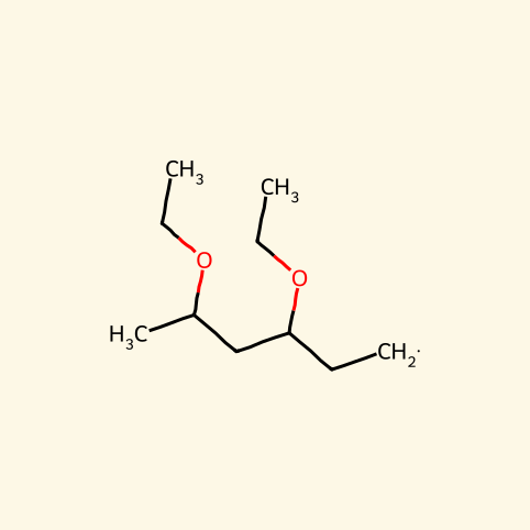 [CH2]CC(CC(C)OCC)OCC